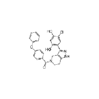 O=C(c1ccc(Oc2ccccc2)cc1)N1CCc2[nH]nc(-c3cc(Cl)c(O)cc3O)c2C1